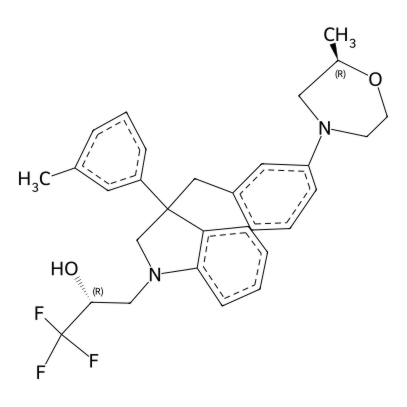 Cc1cccc(C2(Cc3cccc(N4CCO[C@H](C)C4)c3)CN(C[C@@H](O)C(F)(F)F)c3ccccc32)c1